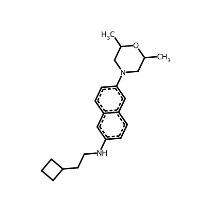 CC1CN(c2ccc3cc(NCCC4CCC4)ccc3c2)CC(C)O1